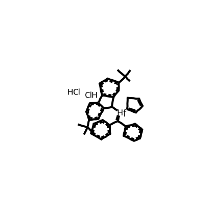 CC(C)(C)c1ccc2c(c1)[CH]([Hf]([C]1=CC=CC1)=[C](c1ccccc1)c1ccccc1)c1cc(C(C)(C)C)ccc1-2.Cl.Cl